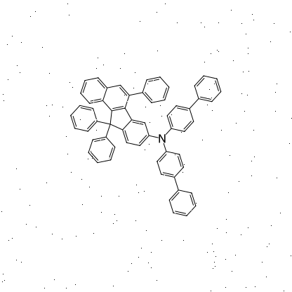 c1ccc(-c2ccc(N(c3ccc(-c4ccccc4)cc3)c3ccc4c(c3)-c3c(-c5ccccc5)cc5ccccc5c3C4(c3ccccc3)c3ccccc3)cc2)cc1